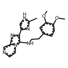 COc1ccc(CCNc2c(-c3c[nH]c(C)n3)nc3cnccn23)cc1OC